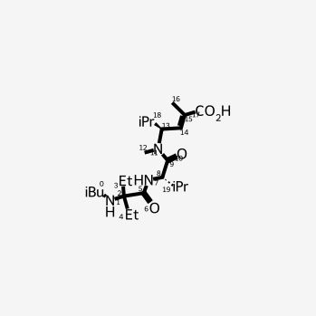 CCC(C)NC(CC)(CC)C(=O)N[C@H](C(=O)N(C)[C@H](/C=C(\C)C(=O)O)C(C)C)C(C)C